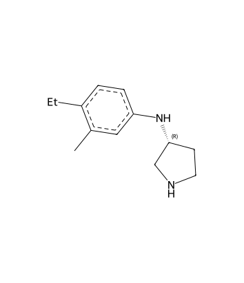 CCc1ccc(N[C@@H]2CCNC2)cc1C